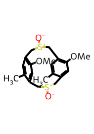 COc1cc2c(C)cc1C[S+]([O-])Cc1cc(C)c(cc1OC)C[S+]([O-])C2